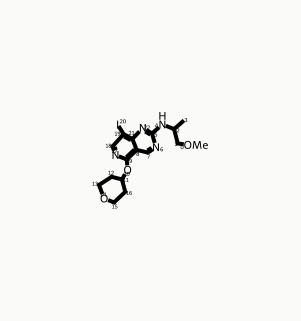 COCC(C)Nc1ncc2c(OC3CCOCC3)ncc(I)c2n1